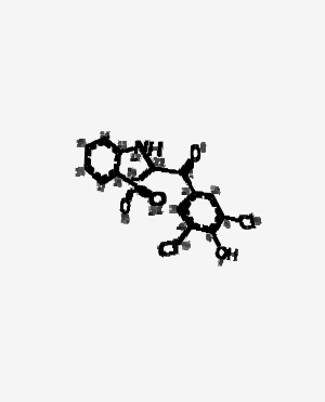 O=C(c1cc(Cl)c(O)c(Cl)c1)C1Nc2ccccc2S1(=O)=O